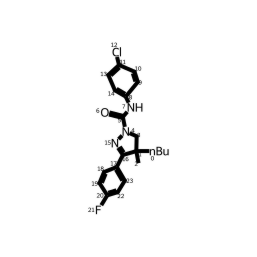 CCCCC1(C)CN(C(=O)Nc2ccc(Cl)cc2)N=C1c1ccc(F)cc1